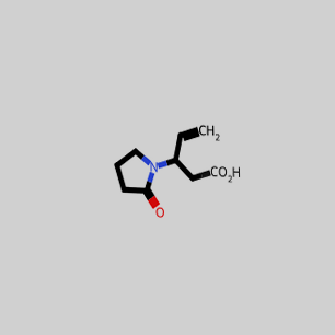 C=CC(CC(=O)O)N1CCCC1=O